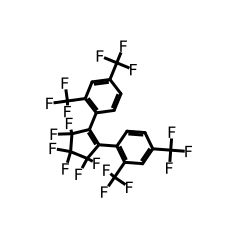 FC(F)(F)c1ccc(C2=C(c3ccc(C(F)(F)F)cc3C(F)(F)F)C(F)(F)C(F)(F)C2(F)F)c(C(F)(F)F)c1